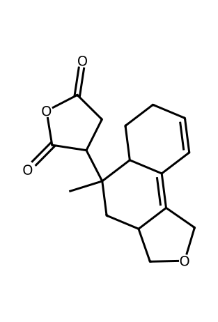 CC1(C2CC(=O)OC2=O)CC2COCC2=C2C=CCCC21